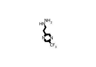 NNCCc1cnc(C(F)(F)F)cn1